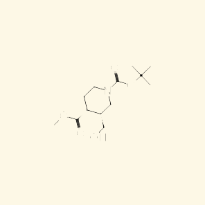 COC(=O)[C@H]1CCN(C(=O)OC(C)(C)C)C[C@H]1CO